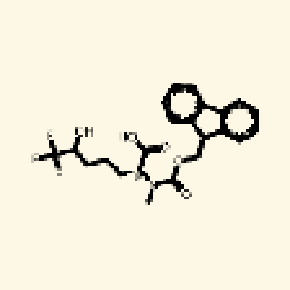 CN(C(=O)OCC1c2ccccc2-c2ccccc21)[C@@H](CCCC(O)C(F)(F)F)C(=O)O